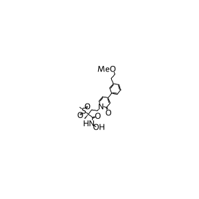 COCCc1cccc(-c2ccn(CC[C@](C)(C(=O)NO)S(C)(=O)=O)c(=O)c2)c1